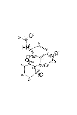 CC(=O)Nc1ccc([N+](=O)[O-])c(C(=O)C2C(=O)CCCC2=O)c1Cl